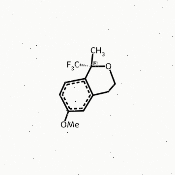 COc1ccc2c(c1)CCO[C@@]2(C)C(F)(F)F